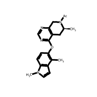 CC(=O)N1Cc2ncnc(Oc3ccc4c(ccn4C)c3C)c2C[C@@H]1C